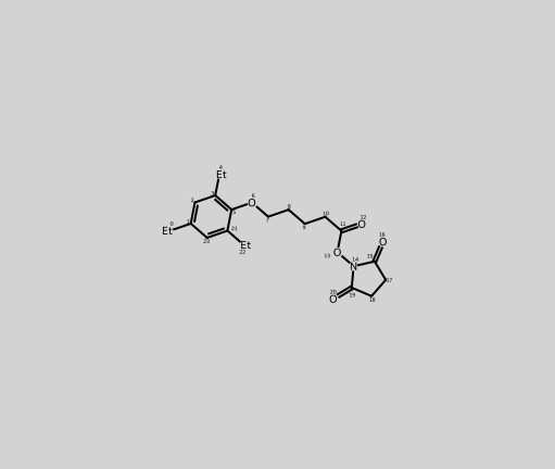 CCc1cc(CC)c(OCCCCC(=O)ON2C(=O)CCC2=O)c(CC)c1